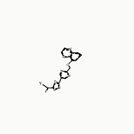 FC(F)c1nnc(-c2cnc(COc3cccc4nccnc34)nc2)o1